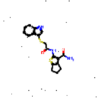 NC(=O)c1c(NC(=O)CSc2c[nH]c3ccccc23)sc2c1CCC2